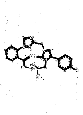 CC[C@H](C)NC(=O)c1ccccc1-n1cnc(Cn2nc(-c3ccc(Cl)cc3)n(C[C@H](O)C(F)(F)F)c2=O)n1